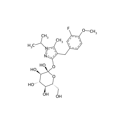 COc1ccc(Cc2c(O[C@]3(O)O[C@H](CO)[C@@H](O)[C@H](O)[C@H]3O)nn(C(C)C)c2C)cc1F